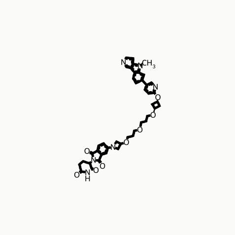 Cn1c2ccncc2c2ccc(-c3ccc(O[C@H]4C[C@H](OCCCOCCCOC5CN(c6ccc7c(c6)C(=O)N(C6CCC(=O)NC6=O)C7=O)C5)C4)nc3)cc21